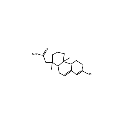 COC(=O)CC1(C)CCCC2(C)C3CCC(C(C)C)=CC3=CCC12